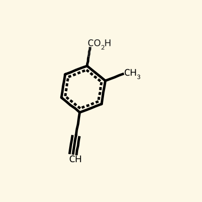 C#Cc1ccc(C(=O)O)c(C)c1